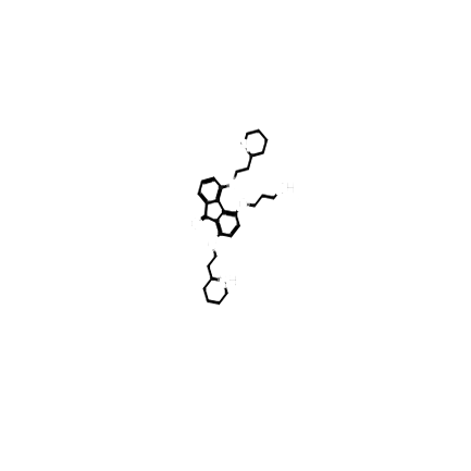 CCCCOc1ccc(OCCC2CCCCN2)c2c1-c1c(OCCC3CCCCN3)cccc1C2=O